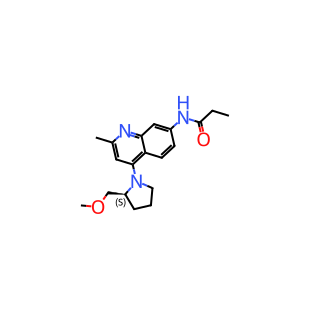 CCC(=O)Nc1ccc2c(N3CCC[C@H]3COC)cc(C)nc2c1